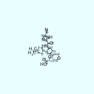 CC1(C)CC=C(c2cc(C3(OCC(=O)O)CCOCC3)ccc2NC(=O)c2ncc(C#N)[nH]2)CC1